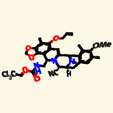 C=CCOc1c(C)c2c(c3c1CC1C4c5c(cc(C)c(OC)c5C)C[C@@H]([C@H](C#N)N1[C@H]3CNC(=O)OCC(Cl)(Cl)Cl)N4C)OCO2